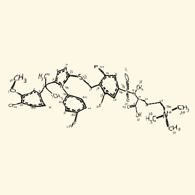 COc1cc(C(C)(C)c2cnc(SCc3c(F)cc(S(=O)(=O)N(C)[C@@H](CCC[N+](C)(C)C)C(=O)O)cc3F)n2-c2ccc(F)cc2)ccc1Cl